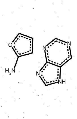 Nc1ccco1.c1ncc2[nH]cnc2n1